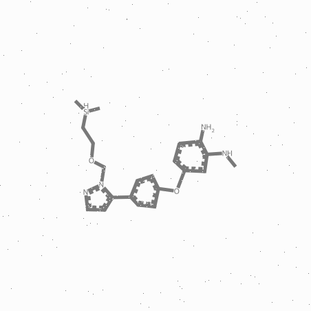 CNc1cc(Oc2ccc(-c3ccnn3COCC[SiH](C)C)cc2)ccc1N